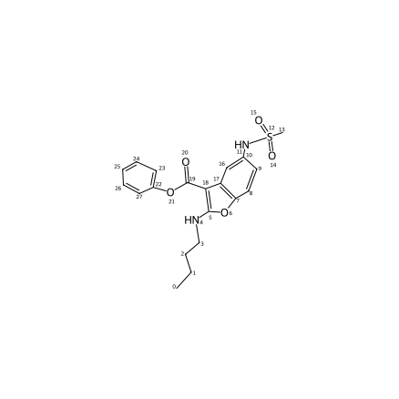 CCCCNc1oc2ccc(NS(C)(=O)=O)cc2c1C(=O)Oc1ccccc1